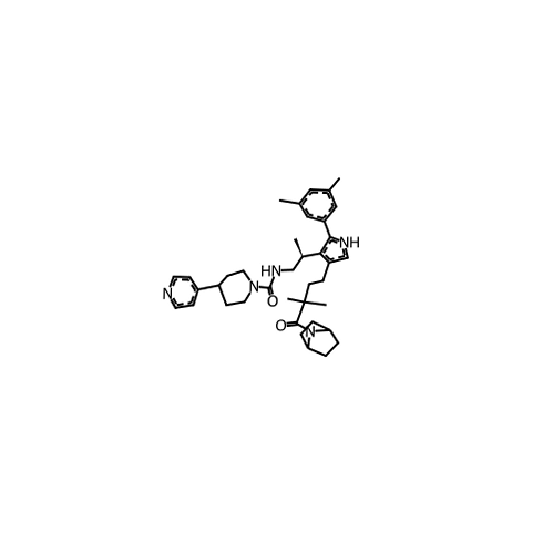 Cc1cc(C)cc(-c2[nH]cc(CCC(C)(C)C(=O)N3C4CCC3CC4)c2[C@H](C)CNC(=O)N2CCC(c3ccncc3)CC2)c1